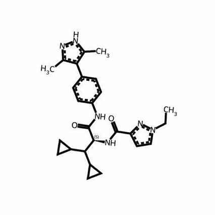 CCn1ccc(C(=O)N[C@H](C(=O)Nc2ccc(-c3c(C)n[nH]c3C)cc2)C(C2CC2)C2CC2)n1